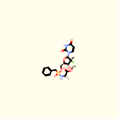 CCCOC(=O)[C@H](C)NP(=O)(Cc1ccccc1)OC[C@H]1O[C@@H](n2ccc(=O)[nH]c2=O)[C@](C)(F)[C@@H]1O